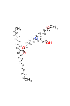 CCCCCCCCCCCCC(CCCCCCCCCC)C(=O)OCCCCCCN(CCCCO)CCCCCCOC